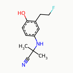 CC(C)(C#N)Nc1ccc(O)c(CCF)c1